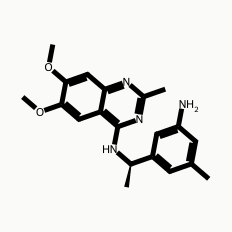 COc1cc2nc(C)nc(N[C@H](C)c3cc(C)cc(N)c3)c2cc1OC